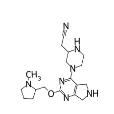 CN1CCCC1COc1nc2c(c(N3CCNC(CC#N)C3)n1)CNC2